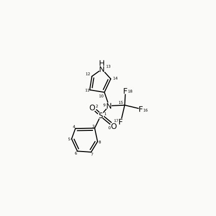 O=S(=O)(c1ccccc1)N(c1cc[nH]c1)C(F)(F)F